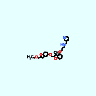 CCOCc1cc2cc(OCc3oc4cccc(OCCCNCc5cccnc5)c4c3C)ccc2o1